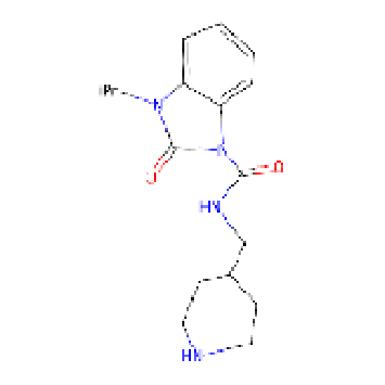 CC(C)n1c(=O)n(C(=O)NCC2CCNCC2)c2ccccc21